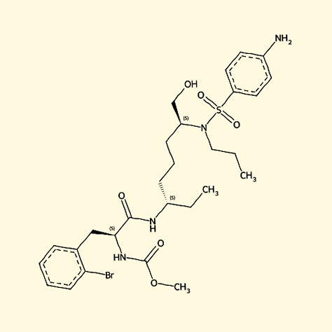 CCCN([C@H](CO)CCC[C@H](CC)NC(=O)[C@H](Cc1ccccc1Br)NC(=O)OC)S(=O)(=O)c1ccc(N)cc1